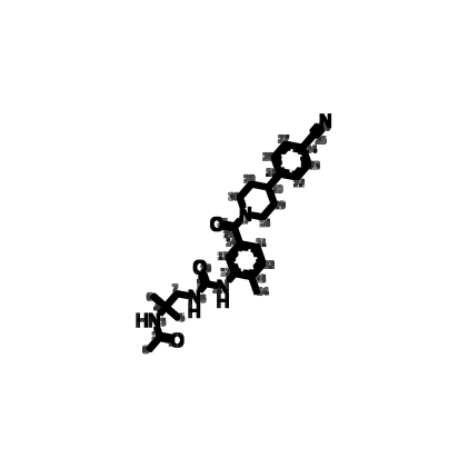 CC(=O)NC(C)(C)CNC(=O)Nc1cc(C(=O)N2CCC(c3ccc(C#N)cc3)CC2)ccc1C